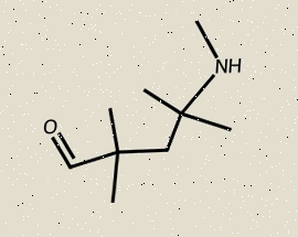 CNC(C)(C)CC(C)(C)C=O